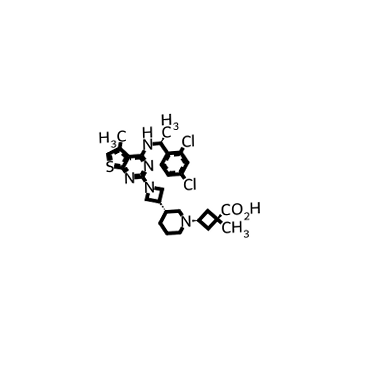 Cc1csc2nc(N3CC([C@H]4CCCN([C@H]5C[C@](C)(C(=O)O)C5)C4)C3)nc(N[C@H](C)c3ccc(Cl)cc3Cl)c12